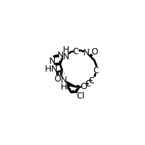 CN1CCCNc2ncnc3c2/C(=C/Nc2ccc(Cl)c(c2)OCCCCCCC1=O)C(=O)N3